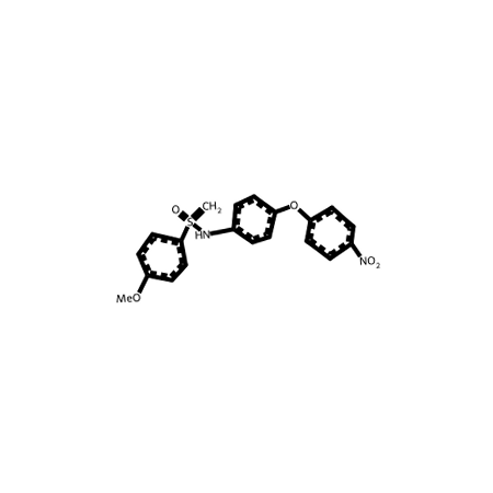 C=S(=O)(Nc1ccc(Oc2ccc([N+](=O)[O-])cc2)cc1)c1ccc(OC)cc1